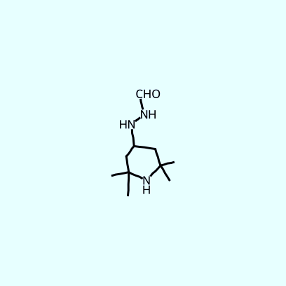 CC1(C)CC(NNC=O)CC(C)(C)N1